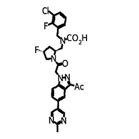 CC(=O)c1nn(CC(=O)N2C[C@H](F)C[C@H]2CN(Cc2cccc(Cl)c2F)C(=O)O)c2ccc(-c3cnc(C)nc3)cc12